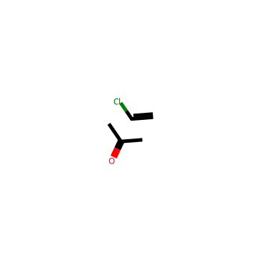 C=CCl.CC(C)=O